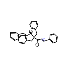 O=C(/C=C/c1ccccc1)C(Cc1ccccc1)(Cc1ccccc1)C(=O)CCc1ccccc1